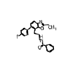 CCc1nc2ccc(-c3ccc(F)cc3)c(CCCNC(=O)c3ccccc3)c2o1